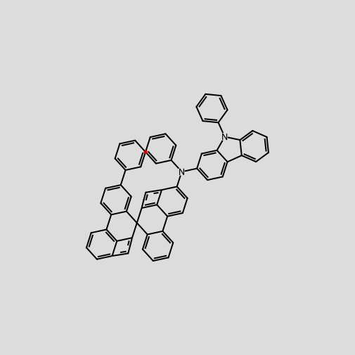 c1ccc(-c2ccc3c(c2)C2(c4ccccc4-c4ccc(N(c5ccccc5)c5ccc6c7ccccc7n(-c7ccccc7)c6c5)c5cccc2c45)c2cccc4cccc-3c24)cc1